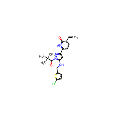 C=Cc1ccc(-c2cc(NCc3ccc(Cl)s3)n(C(=O)C(C)(C)C)n2)[nH]c1=O